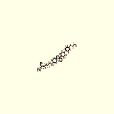 CCCCc1ccc([C@H]2CC[C@H](C(=O)O[C@H]3CC[C@H](CCC=CC=C(F)C#N)CC3)CC2)cc1